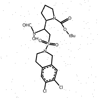 CC(C)(C)OC(=O)N1CCCC1C(CS(=O)(=O)N1CCc2cc(Cl)c(Cl)cc2C1)N(O)C=O